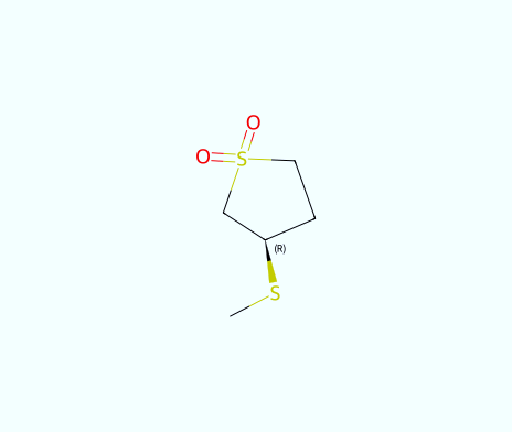 CS[C@@H]1CCS(=O)(=O)C1